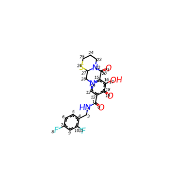 O=C(NCc1ccc(F)cc1F)c1cn2c(c(O)c1=O)C(=O)N1CCCSC1C2